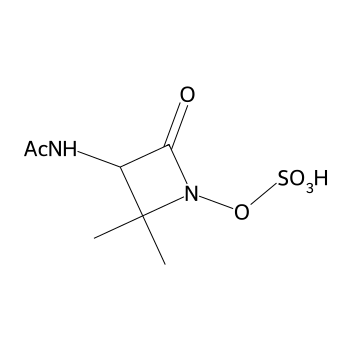 CC(=O)NC1C(=O)N(OS(=O)(=O)O)C1(C)C